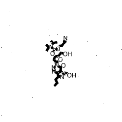 CCCc1nn(CO)c2c(=O)n([C@@H]3CC(OP(OCCC#N)N(C(C)C)C(C)C)C(CO)O3)nnc12